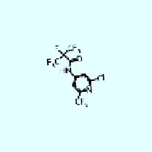 O=C(Nc1cc(Cl)nc(C(F)(F)F)c1)C(F)(C(F)(F)F)C(F)(F)F